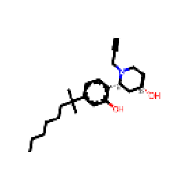 C#CCN1CC[C@H](O)C[C@@H]1c1ccc(C(C)(C)CCCCCC)cc1O